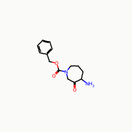 NC1CCCN(C(=O)OCc2ccccc2)CC1=O